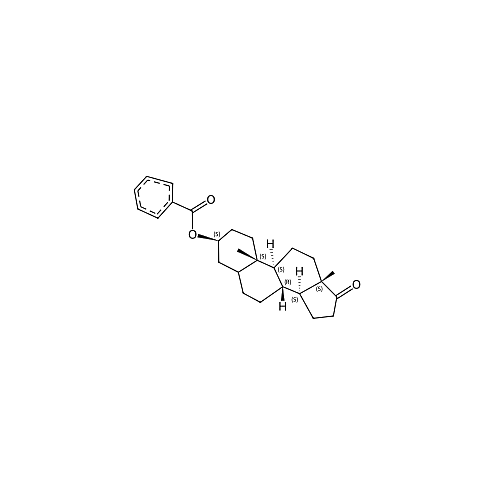 C[C@]12CC[C@H](OC(=O)c3ccccc3)CC1CC[C@@H]1[C@@H]2CC[C@]2(C)C(=O)CC[C@@H]12